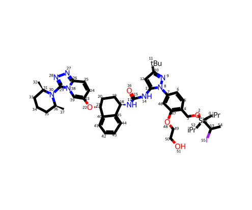 CC(C)[Si](OCc1ccc(-n2nc(C(C)(C)C)cc2NC(=O)N[C@H]2CC[C@@H](Oc3ccc4nnc(N5[C@H](C)CCC[C@@H]5C)n4c3)c3ccccc32)cc1OCCO)(C(C)C)C(C)I